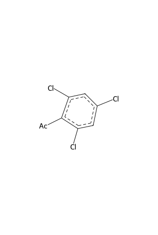 [CH2]C(=O)c1c(Cl)cc(Cl)cc1Cl